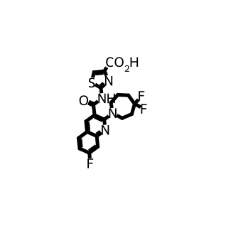 O=C(O)c1csc(NC(=O)c2cc3ccc(F)cc3nc2N2CCCC(F)(F)CC2)n1